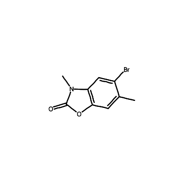 Cc1cc2oc(=O)n(C)c2cc1Br